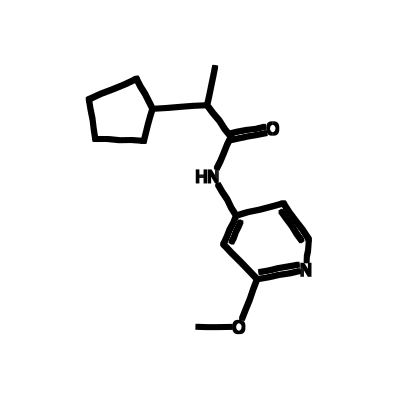 COc1cc(NC(=O)C(C)C2CCCC2)ccn1